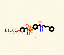 CCOC(=O)Oc1ccc(C(=O)NS(=O)(=O)c2ccc(C(=O)NCCCc3ccccc3)cc2)cn1